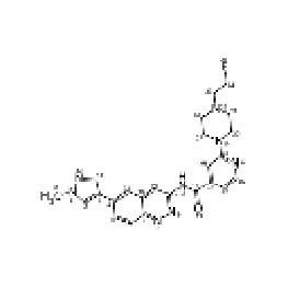 Cn1cc(-c2ccc3nnc(NC(=O)c4ccnc(N5CCN(CCF)CC5)c4)cc3c2)cn1